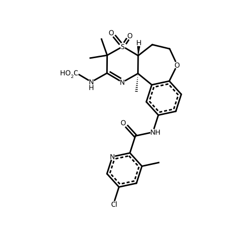 Cc1cc(Cl)cnc1C(=O)Nc1ccc2c(c1)[C@@]1(C)N=C(NC(=O)O)C(C)(C)S(=O)(=O)[C@@H]1CCO2